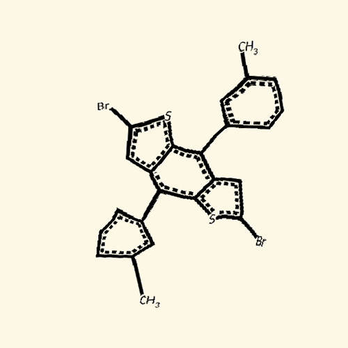 Cc1cccc(-c2c3cc(Br)sc3c(-c3cccc(C)c3)c3cc(Br)sc23)c1